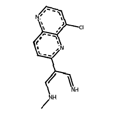 CN/C=C(\C=N)c1ccc2nccc(Cl)c2n1